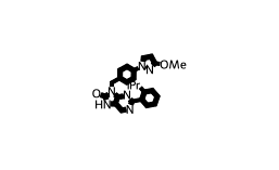 COc1ccn(-c2ccc(Cn3c(=O)[nH]c4cnc(-c5ccccc5C(C)C)nc43)cc2)n1